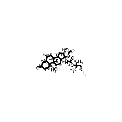 CCC(C)(C)OC(=O)O[C@@]1(OC(=O)O)[C@H](C)C[C@H]2[C@@H]3C[C@H](F)C4=CC(=O)C=C[C@]4(C)C3(F)[C@@H](O)C[C@@]21C